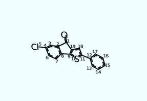 O=C1c2cc(Cl)ccc2-c2sc(-c3ccccc3)cc21